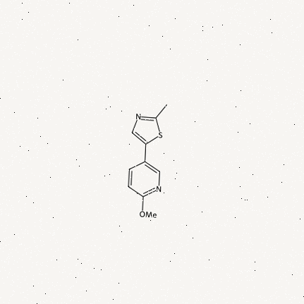 COc1ccc(-c2cnc(C)s2)cn1